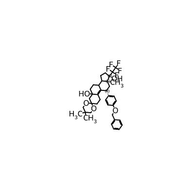 CC1(C)COC2(CCC3=C4C(CCC3(O)C2)C2CC[C@@](O)(C(F)(F)C(F)(F)F)[C@@]2(C)C[C@@H]4c2ccc(OCc3ccccc3)cc2)OC1